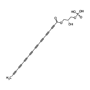 CC#CC#CC#CC#CC#CC#CC#CC#CC(=O)OC[C@@H](O)COP(=O)(O)O